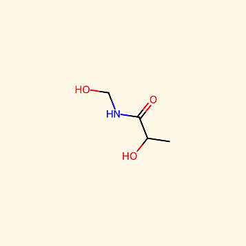 CC(O)C(=O)NCO